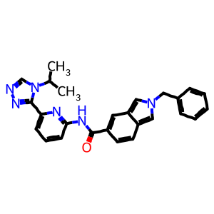 CC(C)n1cnnc1-c1cccc(NC(=O)c2ccc3cn(Cc4ccccc4)cc3c2)n1